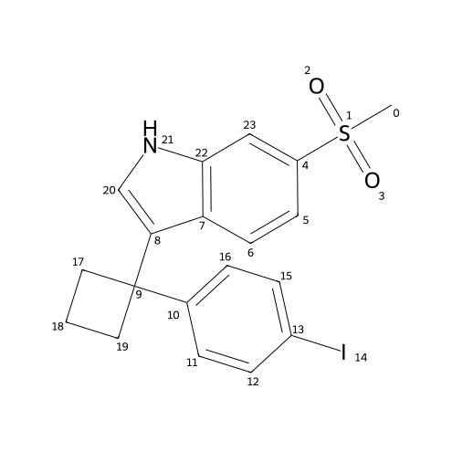 CS(=O)(=O)c1ccc2c(C3(c4ccc(I)cc4)CCC3)c[nH]c2c1